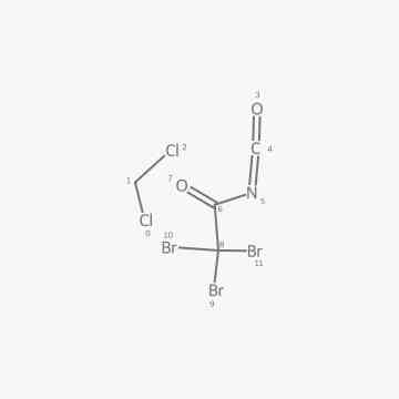 ClCCl.O=C=NC(=O)C(Br)(Br)Br